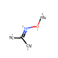 CCCCON=C(C#N)C#N